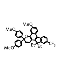 CCC1(CC)c2cc(C(F)(F)F)ccc2-c2c1c1c(c3cc(OC)ccc23)OC(c2ccc(OC)cc2)(c2ccc(OC)cc2)C=C1